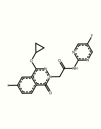 O=C(Cn1nc(OC2CC2)c2cc(I)ccc2c1=O)Nc1ncc(F)cn1